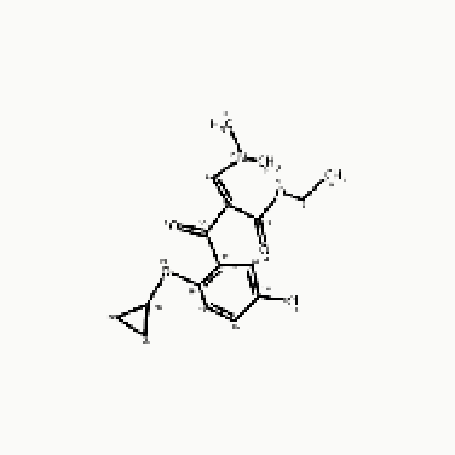 CCOC(=O)/C(=C\N(C)C)C(=O)c1cc(Cl)ccc1OC1CC1